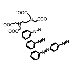 N#[N+]c1ccccc1.N#[N+]c1ccccc1.N#[N+]c1ccccc1.N#[N+]c1ccccc1.O=C([O-])CN(CCN(CC(=O)[O-])CC(=O)[O-])CC(=O)[O-]